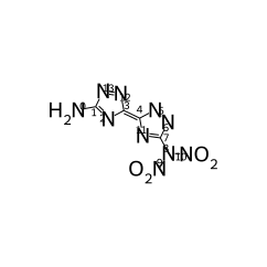 NC1=NC(=C2N=NC(N([N+](=O)[O-])[N+](=O)[O-])=N2)N=N1